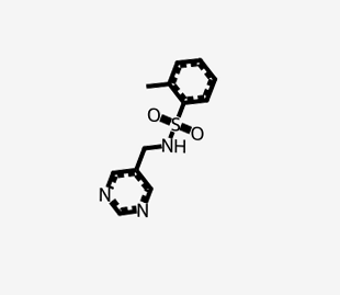 Cc1ccccc1S(=O)(=O)NCc1cncnc1